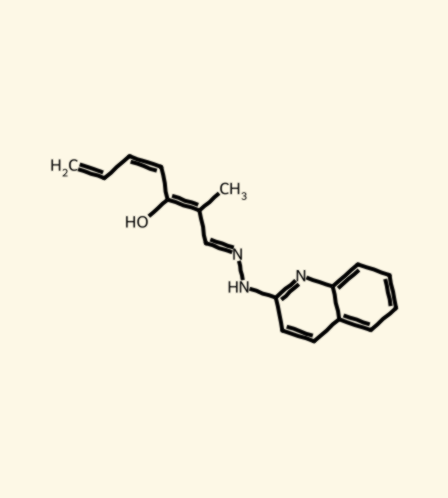 C=C\C=C/C(O)=C(C)/C=N/Nc1ccc2ccccc2n1